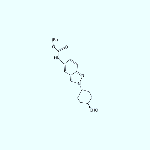 CC(C)(C)OC(=O)Nc1ccc2nn([C@H]3CC[C@H](C=O)CC3)cc2c1